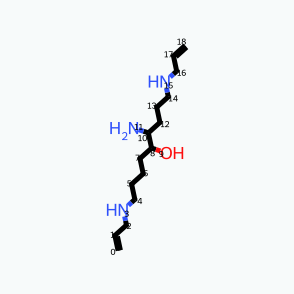 C=CCNCCCCC(O)C(N)CCCNCC=C